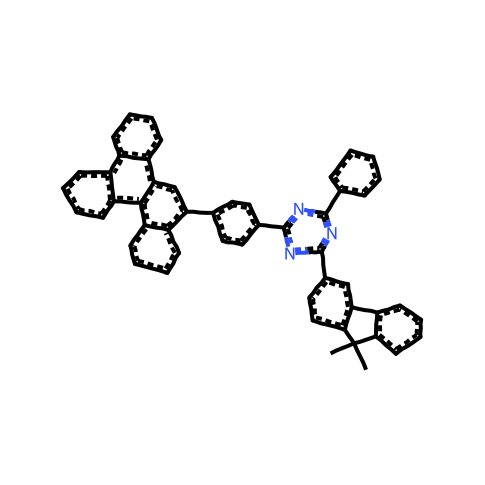 CC1(C)c2ccccc2-c2cc(-c3nc(-c4ccccc4)nc(-c4ccc(-c5cc6c7ccccc7c7ccccc7c6c6ccccc56)cc4)n3)ccc21